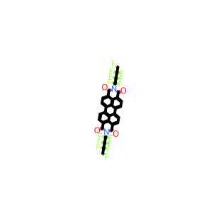 O=C1c2ccc3c4ccc5c6c(ccc(c7ccc(c2c37)C(=O)N1C(F)(F)C(F)(F)C(F)(F)CF)c64)C(=O)N(C(F)(F)C(F)(F)C(F)(F)CF)C5=O